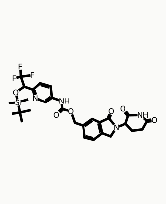 CC(C)(C)[Si](C)(C)OC(c1ccc(NC(=O)OCc2ccc3c(c2)C(=O)N(C2CCC(=O)NC2=O)C3)cn1)C(F)(F)F